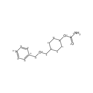 NC(=O)OC1CCC(COCc2ccncc2)CC1